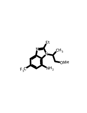 CCc1nc2cc(C(F)(F)F)cc(N)c2n1C(C)COC